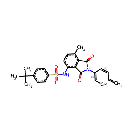 C=C/C=C\C(=C/C)N1C(=O)c2c(C)ccc(NS(=O)(=O)c3ccc(C(C)(C)C)cc3)c2C1=O